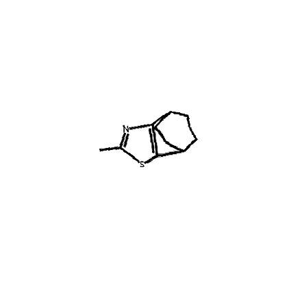 Cc1nc2c(s1)C1CCC2CC1